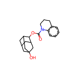 O=C(OC1C2CC3CC1CC(O)(C3)C2)N1CCCc2ccccc21